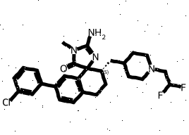 CN1C(=O)C2(N=C1N)c1cc(-c3cccc(Cl)c3)ccc1CC[C@H]2CC1CCN(CC(F)F)CC1